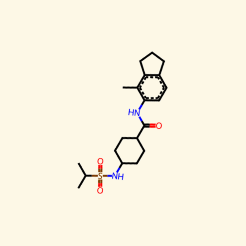 Cc1c(NC(=O)C2CCC(NS(=O)(=O)C(C)C)CC2)ccc2c1CCC2